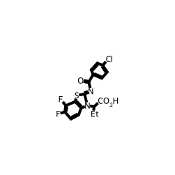 CCC(C(=O)O)n1c(=NC(=O)c2ccc(Cl)cc2)sc2c(F)c(F)ccc21